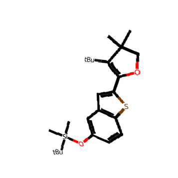 CC(C)(C)C1=C(c2cc3cc(O[Si](C)(C)C(C)(C)C)ccc3s2)OCC1(C)C